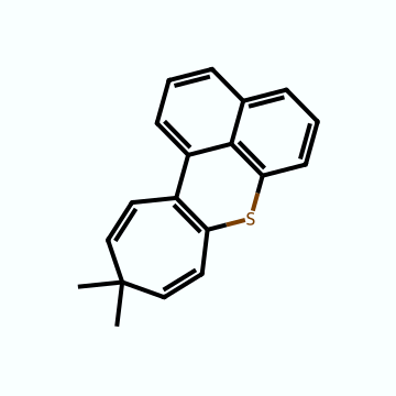 CC1(C)C=CC2=C(C=C1)c1cccc3cccc(c13)S2